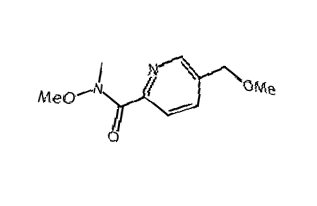 COCc1ccc(C(=O)N(C)OC)nc1